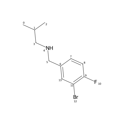 CC(C)CNCc1ccc(F)c(Br)c1